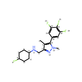 Cc1c(CNC2CCC(F)CC2)nn(C)c1-c1cc(F)c(F)c(F)c1